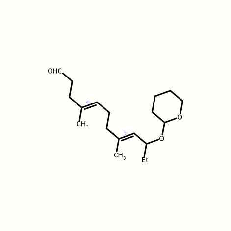 CCC(/C=C(\C)CC/C=C(\C)CCC=O)OC1CCCCO1